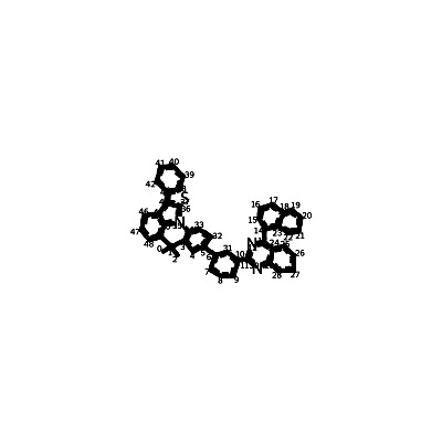 CC1(C)c2cc(-c3cccc(-c4nc(-c5cccc6ccccc56)c5ccccc5n4)c3)ccc2-n2c3sc4ccccc4c3c3cccc1c32